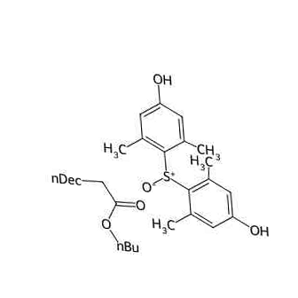 CCCCCCCCCCCC(=O)OCCCC.Cc1cc(O)cc(C)c1[S+]([O-])c1c(C)cc(O)cc1C